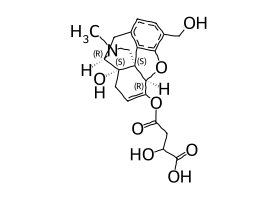 CN1CC[C@]23c4c5ccc(CO)c4O[C@H]2C(OC(=O)CC(O)C(=O)O)=CC[C@@]3(O)[C@H]1C5